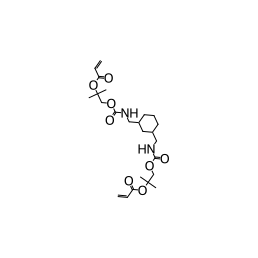 C=CC(=O)OC(C)(C)COC(=O)NCC1CCCC(CNC(=O)OCC(C)(C)OC(=O)C=C)C1